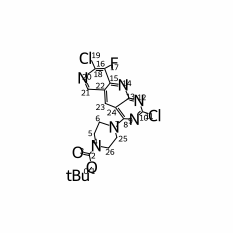 CC(C)(C)OC(=O)N1CCN(c2nc(Cl)nc3nc4c(F)c(Cl)ncc4cc23)CC1